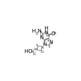 Nc1nc2c(ncn2[C@H]2C[C@@H](CO)C2)c(=O)[nH]1